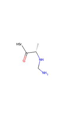 C[C@H](NCN)[C](=O)[SrH]